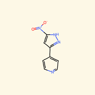 O=[N+]([O-])c1cc(-c2ccncc2)n[nH]1